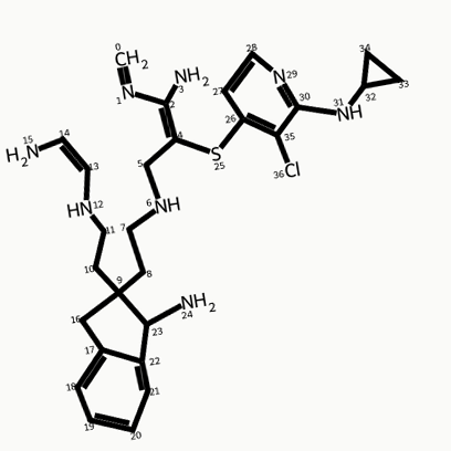 C=N/C(N)=C(\CNCCC1(CCN/C=C\N)Cc2ccccc2C1N)Sc1ccnc(NC2CC2)c1Cl